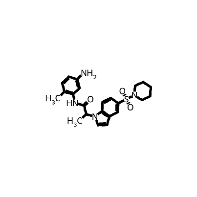 Cc1ccc(N)cc1NC(=O)C(C)n1ccc2cc(S(=O)(=O)N3CCCCC3)ccc21